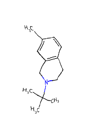 Cc1ccc2c(c1)CN(C(C)(C)C)CC2